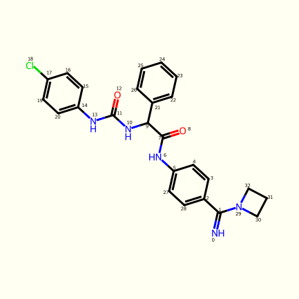 N=C(c1ccc(NC(=O)C(NC(=O)Nc2ccc(Cl)cc2)c2ccccc2)cc1)N1CCC1